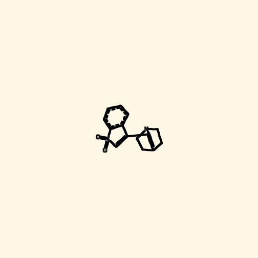 O=S1(=O)C=C(C2=CC3CCN2CC3)c2ccccc21